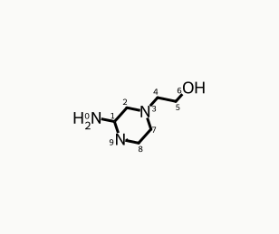 NC1CN(CCO)CC[N]1